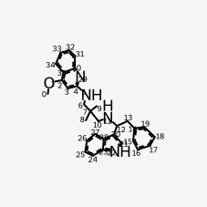 COc1cc(NCC(C)(C)CNC(Cc2ccccc2)c2c[nH]c3ccccc23)nc2ccccc12